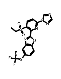 CCS(=O)(=O)c1ccc(-n2cncn2)nc1-c1nc2cc(SC(F)(F)F)ccc2o1